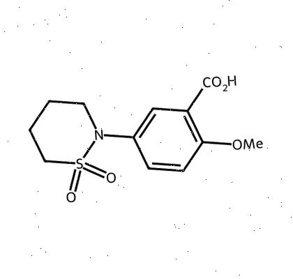 COc1ccc(N2CCCCS2(=O)=O)cc1C(=O)O